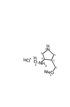 COCC1CNCC1N.Cl.Cl